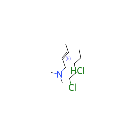 C/C=C/CN(C)C.CCCCCCl.Cl